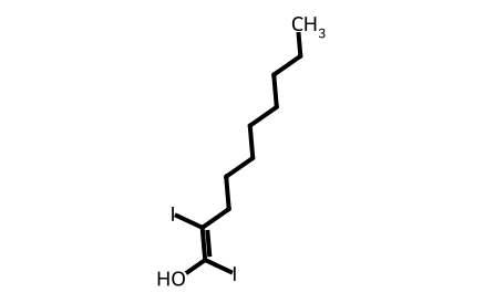 CCCCCCCCC(I)=C(O)I